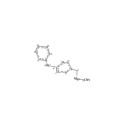 ONCc1ccc(Nc2ccccc2)cc1